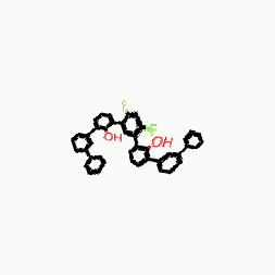 Oc1c(-c2cccc(-c3ccccc3)c2)cccc1-c1cc(-c2cccc(-c3cccc(-c4ccccc4)c3)c2O)c(F)cc1F